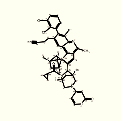 Cc1nc2c(F)c(-c3cccc(Cl)c3Cl)c(CCC#N)cc2c2c1cc([C@H]1[C@H]3C[C@H](CN(c4ccoc(=O)c4)C3)N1C(=O)C1CC1)n2[C@H]1[C@H]2CN[C@@H]1C2